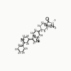 CN[C@@H](C)C(=O)N1CCC(c2ccn3c(-c4ccnc(-c5ccccc5)c4)cnc3c2)CC1